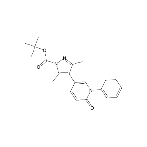 Cc1nn(C(=O)OC(C)(C)C)c(C)c1-c1ccc(=O)n(C2=CC=CCC2)c1